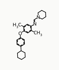 Cc1cc(Oc2ccc(C3CCCCC3)cc2)c(C)cc1N=CN1CCCCC1